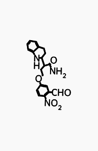 NC(=O)C(CCOc1ccc([N+](=O)[O-])c(C=O)c1)C1CCc2ccccc2N1